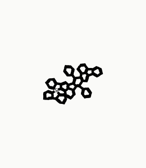 c1ccc(-c2c3cc4c5ccccc5c5cccc(c3c(-c3ccccc3)c3c6cc7c(c8cccc(c23)c86)[Si]2(c3ccccc3-c3ccccc32)c2ccccc2-7)c54)cc1